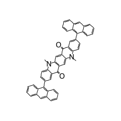 Cn1c2ccc(-c3c4ccccc4cc4ccccc34)cc2c(=O)c2cc3c(cc21)c(=O)c1cc(-c2c4ccccc4cc4ccccc24)ccc1n3C